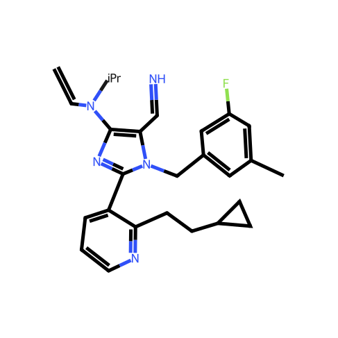 C=CN(c1nc(-c2cccnc2CCC2CC2)n(Cc2cc(C)cc(F)c2)c1C=N)C(C)C